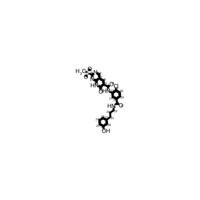 CS(=O)(=O)c1ncc2cc(C(=O)Nc3cc(C(=O)NCCCc4cccc(O)c4)ccc3Cl)c(=O)[nH]c2n1